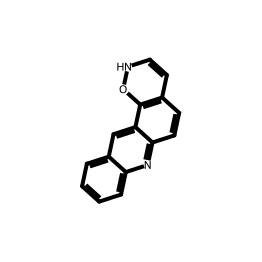 C1=Cc2ccc3nc4ccccc4cc3c2ON1